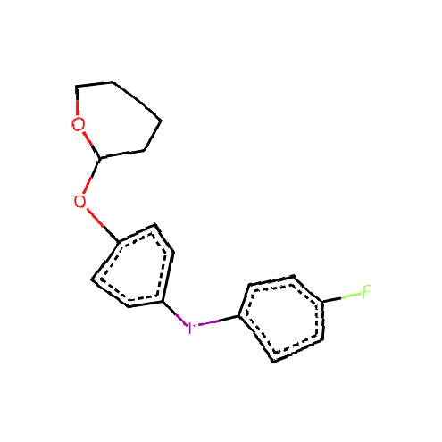 Fc1ccc([I+]c2ccc(OC3CCCCO3)cc2)cc1